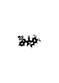 CCS(=O)(=O)n1cc(-c2c(C#N)c3n(c2C)C(C)Cc2cc(OC)c(OC)cc2-3)c2ccccc21